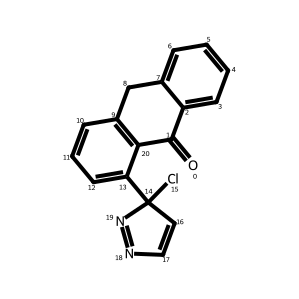 O=C1c2ccccc2Cc2cccc(C3(Cl)C=CN=N3)c21